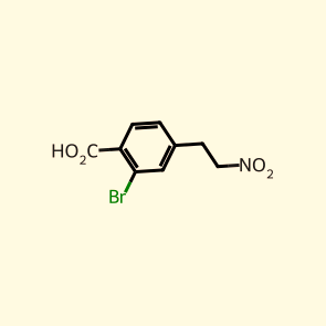 O=C(O)c1ccc(CC[N+](=O)[O-])cc1Br